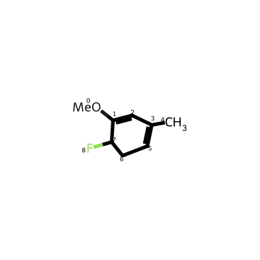 COC1=CC(C)=CCC1F